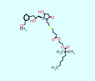 CCCCCCC(C)(C)C(=O)OCCOC(=O)CCCSCC[C@H]1C(=O)C[C@@H](O)[C@@H]1C=C[C@@H](O)Cc1cccc(COC)c1